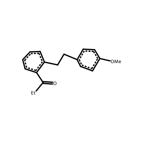 CCC(=O)c1ccccc1CCc1ccc(OC)cc1